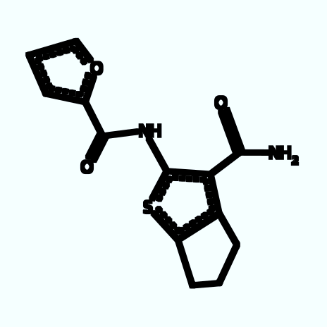 NC(=O)c1c(NC(=O)c2ccco2)sc2c1CCC2